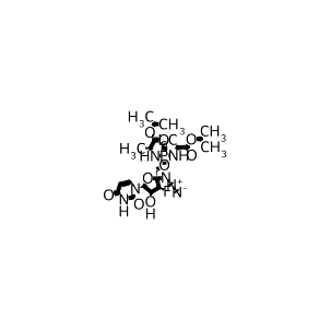 CC(C)OC(=O)[C@H](C)NP(=S)(N[C@@H](C)C(=O)OC(C)C)OC[C@@]1(N=[N+]=[N-])O[C@@H](n2ccc(=O)[nH]c2=O)[C@H](O)[C@@H]1F